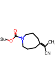 CC(C#N)=C1CCCN(C(=O)OC(C)(C)C)CCC1